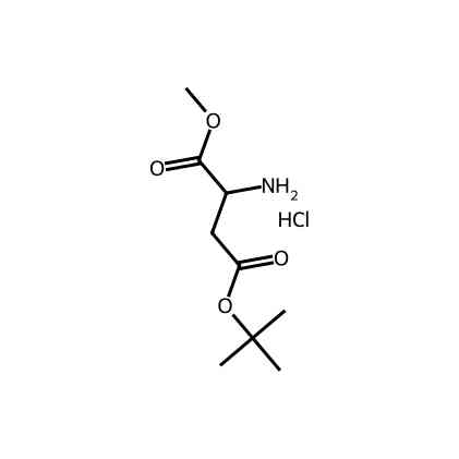 COC(=O)C(N)CC(=O)OC(C)(C)C.Cl